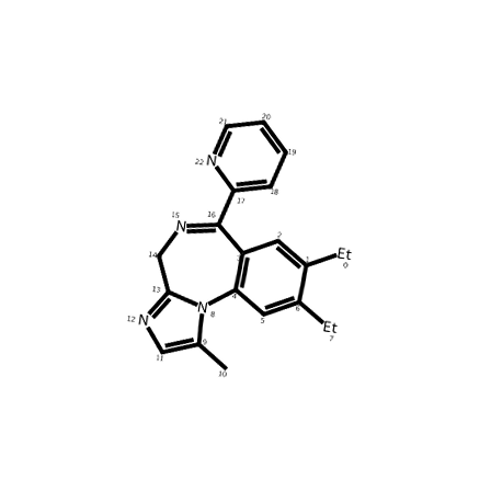 CCc1cc2c(cc1CC)-n1c(C)cnc1CN=C2c1ccccn1